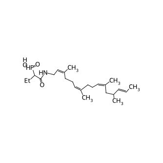 CC=CC(C)CC(C)=CCCC(C)=CCCC(C)=CCNC(=O)C(CC)[PH](=O)O